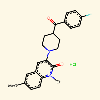 CCn1c(=O)c(N2CCC(C(=O)c3ccc(F)cc3)CC2)cc2cc(OC)ccc21.Cl